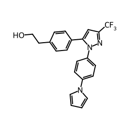 OCCc1ccc(-c2cc(C(F)(F)F)nn2-c2ccc(-n3cccc3)cc2)cc1